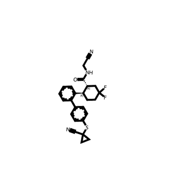 N#CCNC(=O)[C@@H]1CC(F)(F)CC[C@H]1c1ccccc1-c1ccc(SC2(C#N)CC2)cc1